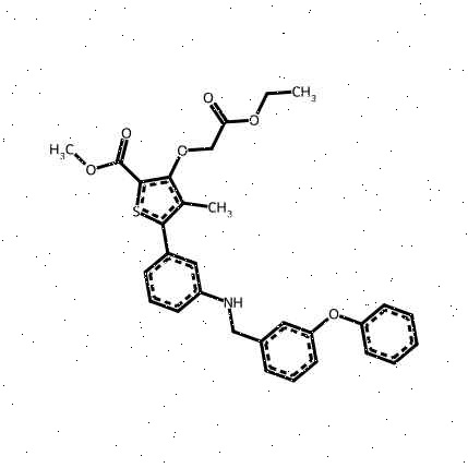 CCOC(=O)COc1c(C(=O)OC)sc(-c2cccc(NCc3cccc(Oc4ccccc4)c3)c2)c1C